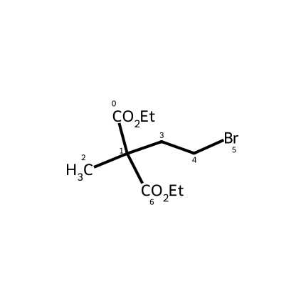 CCOC(=O)C(C)(CCBr)C(=O)OCC